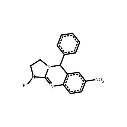 CCN1CCN2C1=Nc1ccc([N+](=O)[O-])cc1C2c1ccccc1